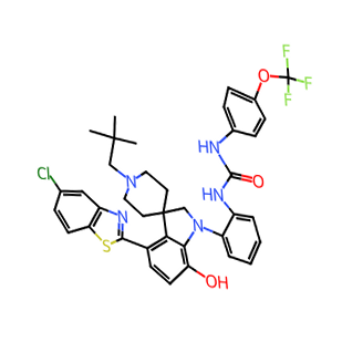 CC(C)(C)CN1CCC2(CC1)CN(c1ccccc1NC(=O)Nc1ccc(OC(F)(F)F)cc1)c1c(O)ccc(-c3nc4cc(Cl)ccc4s3)c12